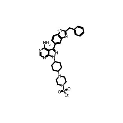 CCS(=O)(=O)N1CCN([C@H]2CC[C@H](n3nc(-c4ccc5[nH]c(Cc6ccccc6)nc5c4)c4c(N)ncnc43)CC2)CC1